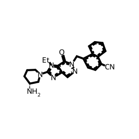 CCn1c(N2CCC[C@@H](N)C2)nc2cnn(Cc3ccc(C#N)c4ccccc34)c(=O)c21